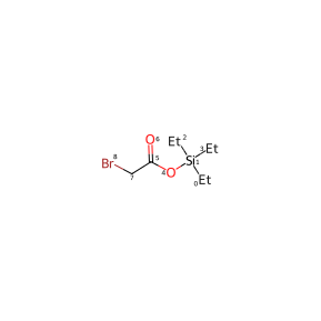 CC[Si](CC)(CC)OC(=O)CBr